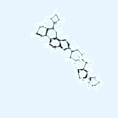 C1=NCCS1.O=C(c1ccncc1)N1CCC(c2ccc3c4c(ccc3c2)C2=C(CCC=C2)C(C2CCC2)C4)CC1